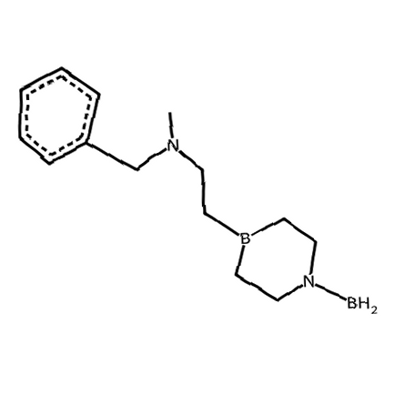 BN1CCB(CCN(C)Cc2ccccc2)CC1